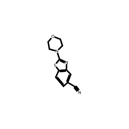 N#Cc1ccc2sc(N3CCOCC3)nc2c1